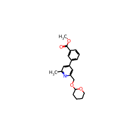 COC(=O)c1cccc(-c2cc(C)nc(COC3CCCCO3)c2)c1